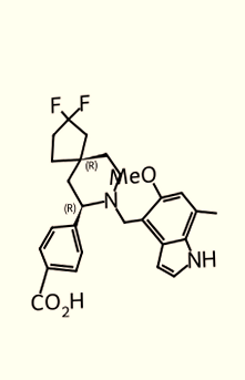 COc1cc(C)c2[nH]ccc2c1CN1CC[C@]2(CCC(F)(F)C2)C[C@@H]1c1ccc(C(=O)O)cc1